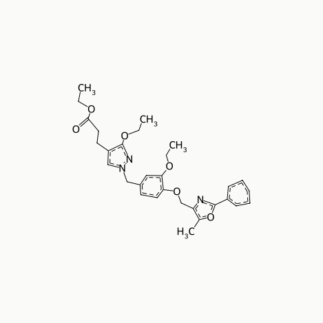 CCOC(=O)CCc1cn(Cc2ccc(OCc3nc(-c4ccccc4)oc3C)c(OCC)c2)nc1OCC